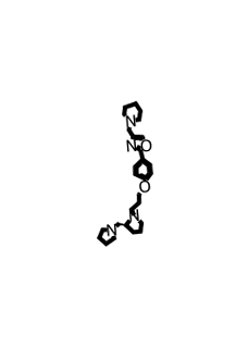 c1cc(-c2nc(CN3CCCCC3)co2)ccc1OCCCN1CCC[C@H]1CN1CCCC1